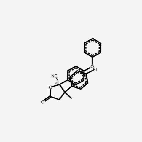 CCc1ccc(C2(C)CC(=O)O[C@@]2(C#N)c2ccc(Oc3ccccc3)cc2)cc1